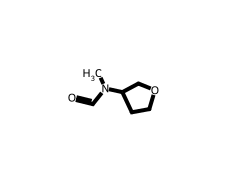 CN(C=O)C1CCOC1